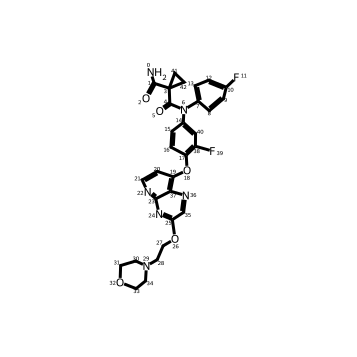 NC(=O)C1(C(=O)N(c2ccc(F)cc2)c2ccc(Oc3ccnc4nc(OCCN5CCOCC5)cnc34)c(F)c2)CC1